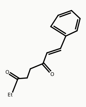 CCC(=O)CCC(=O)/C=C/c1ccccc1